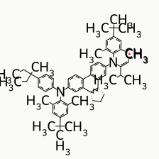 C/C=C(/C(C)C)N(c1ccc2c(c1)[C@]13CCC[C@]1(CCC3)c1cc(N(c3ccc(C(C)(CC)CC)cc3)c3c(C)cc(C(C)(C)C)cc3C)ccc1-2)c1c(C)cc(C(C)(C)C)cc1C